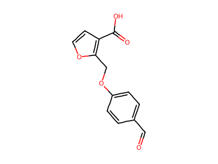 O=Cc1ccc(OCc2occc2C(=O)O)cc1